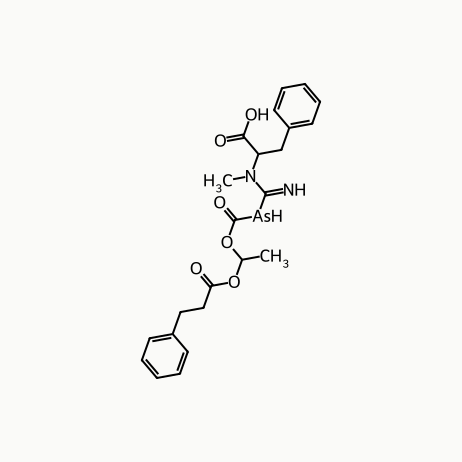 CC(OC(=O)CCc1ccccc1)OC(=O)[AsH]C(=N)N(C)C(Cc1ccccc1)C(=O)O